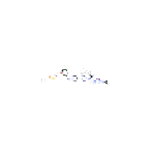 CC[C@H]1CN(c2ncc(C(=O)NC3CC3)nc2C)CCN1C1CCN(Cc2ccc(Cl)c(OCCS(C)(=O)=O)c2)CC1